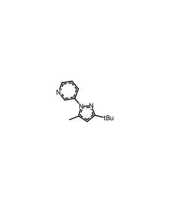 Cc1cc(C(C)(C)C)nn1-c1cccnc1